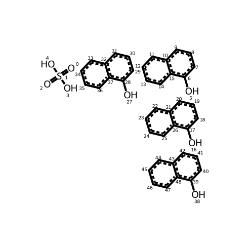 O=S(=O)(O)O.Oc1cccc2ccccc12.Oc1cccc2ccccc12.Oc1cccc2ccccc12.Oc1cccc2ccccc12